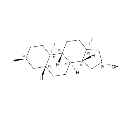 C[C@H]1CC[C@]2(C)[C@H](CC[C@@H]3[C@H]4C[C@@H](O)C[C@]4(C)CC[C@H]32)C1